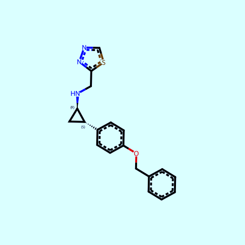 c1ccc(COc2ccc([C@@H]3C[C@H]3NCc3nncs3)cc2)cc1